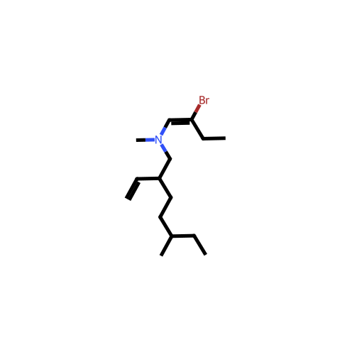 C=CC(CCC(C)CC)CN(C)/C=C(/Br)CC